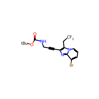 CC(C)(C)OC(=O)NCC#Cc1nc2c(Br)cccn2c1CC(F)(F)F